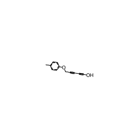 Cc1ccc(OCC#CC#CO)cc1